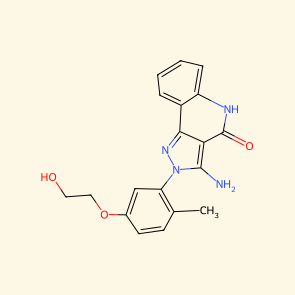 Cc1ccc(OCCO)cc1-n1nc2c(c1N)c(=O)[nH]c1ccccc12